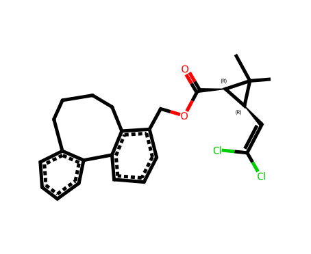 CC1(C)[C@H](C(=O)OCc2cccc3c2CCCCc2ccccc2-3)[C@@H]1C=C(Cl)Cl